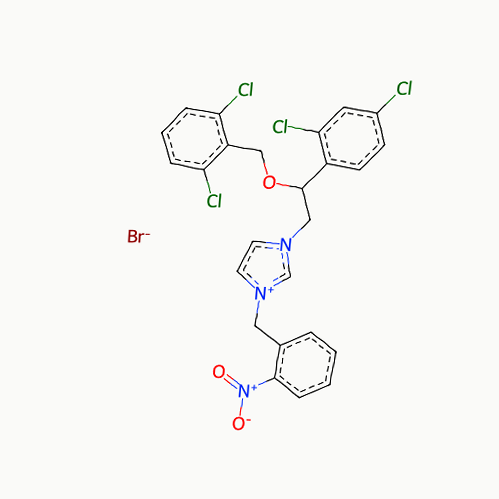 O=[N+]([O-])c1ccccc1C[n+]1ccn(CC(OCc2c(Cl)cccc2Cl)c2ccc(Cl)cc2Cl)c1.[Br-]